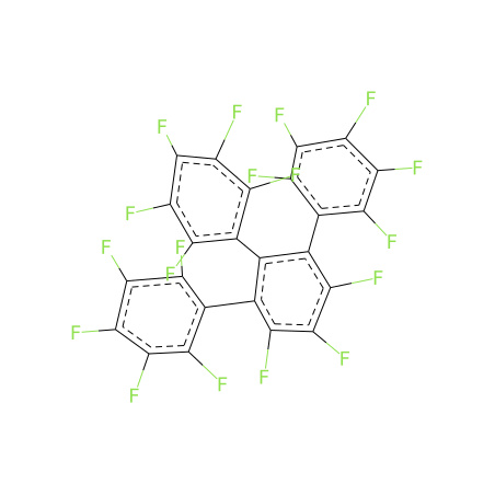 Fc1c(F)c(F)c(-c2c(F)c(F)c(F)c(-c3c(F)c(F)c(F)c(F)c3F)c2-c2c(F)c(F)c(F)c(F)c2F)c(F)c1F